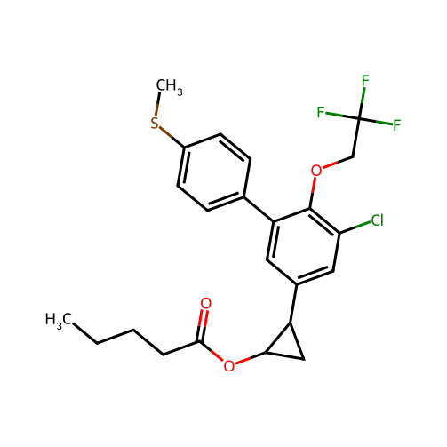 CCCCC(=O)OC1CC1c1cc(Cl)c(OCC(F)(F)F)c(-c2ccc(SC)cc2)c1